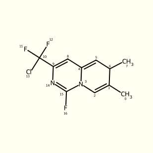 CC1=CN2C(=CC1C)C=C(C(F)(F)Cl)N=C2F